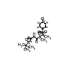 CN(C(C)(C)C(=O)Nc1cc(C(C)(C)C)on1)S(=O)(=O)c1ccc(Cl)cc1